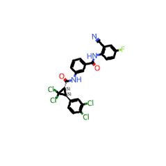 N#Cc1cc(F)ccc1NC(=O)c1cccc(NC(=O)[C@@H]2[C@@H](c3ccc(Cl)c(Cl)c3)C2(Cl)Cl)c1